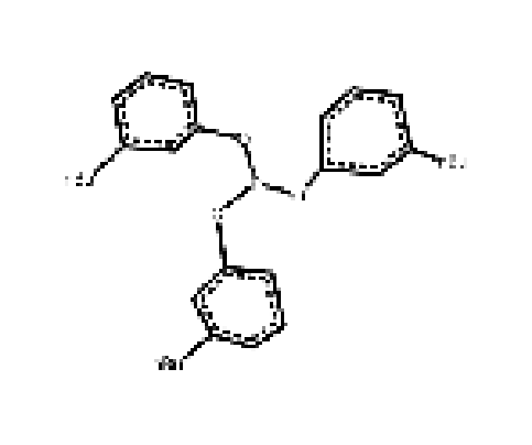 CCCCc1cccc(OP(Oc2cccc(CCCC)c2)Oc2cccc(CCCC)c2)c1